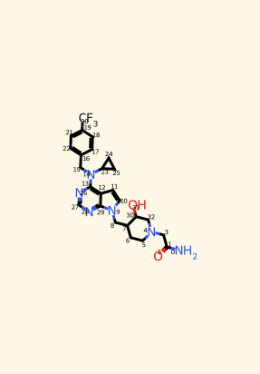 NC(=O)CN1CCC(Cn2ccc3c(N(Cc4ccc(C(F)(F)F)cc4)C4CC4)ncnc32)C(O)C1